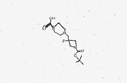 CC(C)(C)OC(=O)N1CC(F)(CN2CCN(C(=O)O)CC2)C1